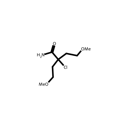 COCCC(Cl)(CCOC)C(N)=O